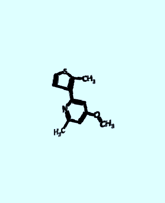 COc1cc(C)nc(-c2ccsc2C)c1